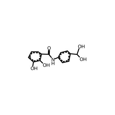 O=C(Nc1ccc(C(O)O)cc1)c1cccc(O)c1O